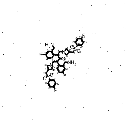 NCc1cc(F)ccc1C(CN1CC(CS(=O)(=O)c2ccc(F)cc2)C1)C(=O)C(CN1CC(CS(=O)(=O)c2ccc(F)cc2)C1)c1ccc(F)cc1CN